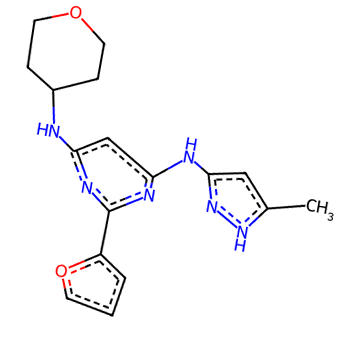 Cc1cc(Nc2cc(NC3CCOCC3)nc(-c3ccco3)n2)n[nH]1